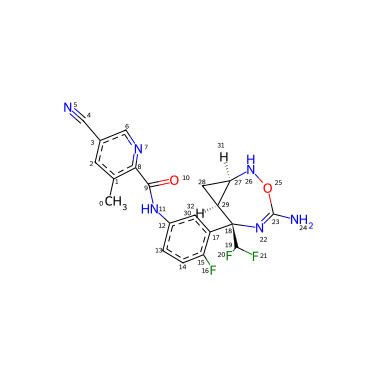 Cc1cc(C#N)cnc1C(=O)Nc1ccc(F)c([C@@]2(C(F)F)N=C(N)ON[C@@H]3C[C@@H]32)c1